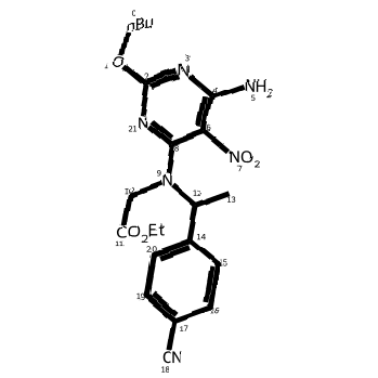 CCCCOc1nc(N)c([N+](=O)[O-])c(N(CC(=O)OCC)C(C)c2ccc(C#N)cc2)n1